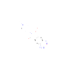 CN1CCC(N2C(=O)c3cc(N)c([N+](=O)[O-])cc3C2=O)CC1